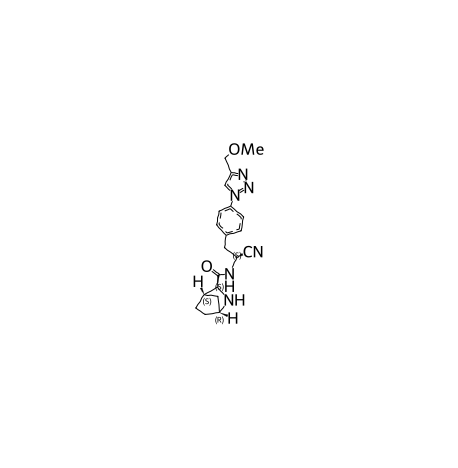 COCc1cn(-c2ccc(C[C@@H](C#N)NC(=O)[C@H]3N[C@@H]4CC[C@H]3C4)cc2)nn1